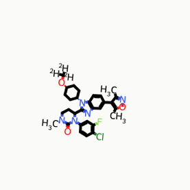 [2H]C([2H])([2H])O[C@H]1CC[C@H](n2c(C3CCN(C)C(=O)N3c3ccc(Cl)c(F)c3)nc3cc(-c4c(C)noc4C)ccc32)CC1